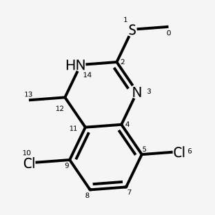 CSC1=Nc2c(Cl)ccc(Cl)c2C(C)N1